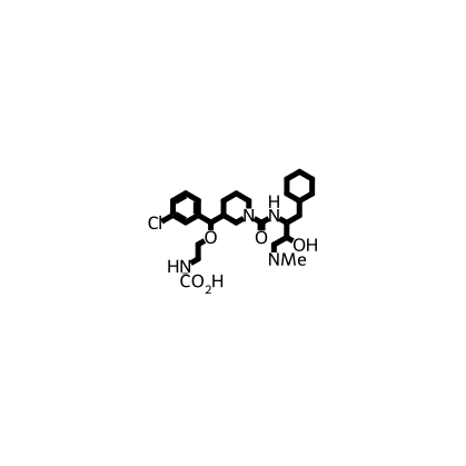 CNCC(O)C(CC1CCCCC1)NC(=O)N1CCCC(C(OCCNC(=O)O)c2cccc(Cl)c2)C1